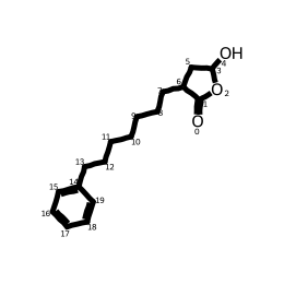 O=C1OC(O)CC1CCCCCCCc1ccccc1